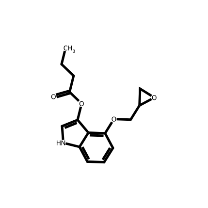 CCCC(=O)Oc1c[nH]c2cccc(OCC3CO3)c12